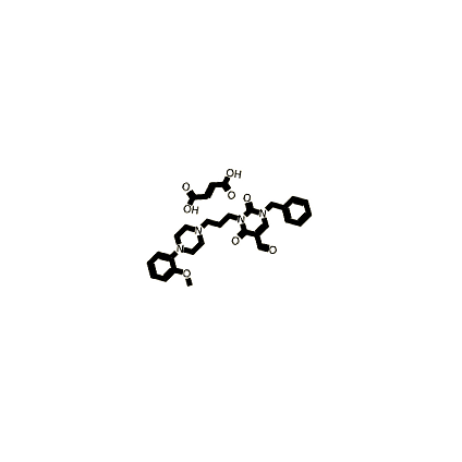 COc1ccccc1N1CCN(CCCn2c(=O)c(C=O)cn(Cc3ccccc3)c2=O)CC1.O=C(O)C=CC(=O)O